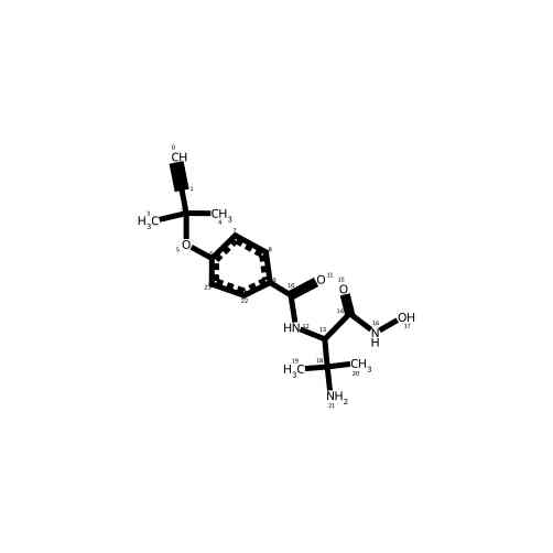 C#CC(C)(C)Oc1ccc(C(=O)NC(C(=O)NO)C(C)(C)N)cc1